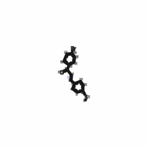 CSc1ccc(/C=C/C(=O)c2ccc(Br)cc2)cc1